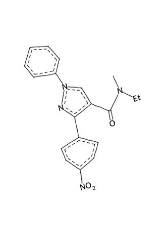 CCN(C)C(=O)c1cn(-c2ccccc2)nc1-c1ccc([N+](=O)[O-])cc1